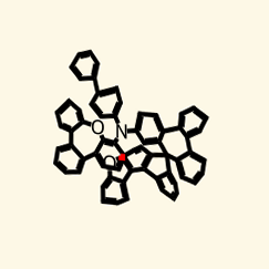 c1ccc(-c2ccc(N(c3ccc4c(c3)C3(c5ccccc5-c5ccccc5-4)c4ccccc4-c4c3ccc3oc5ccccc5c43)c3cccc4c3Oc3ccccc3-c3ccccc3-4)cc2)cc1